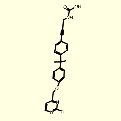 CC(C)(c1ccc(C#CCNC(=O)O)cc1)c1ccc(OCc2ccnc(Cl)n2)cc1